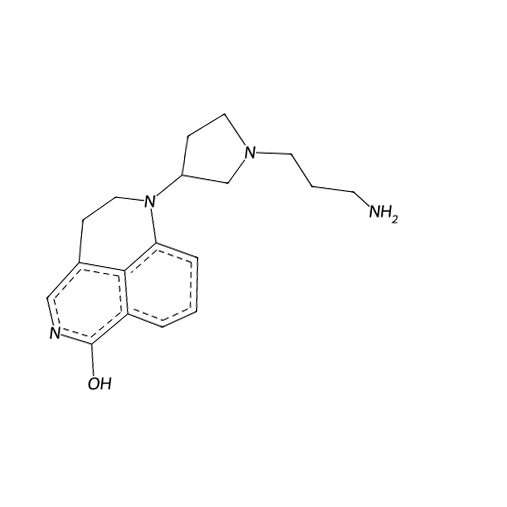 NCCCN1CCC(N2CCc3cnc(O)c4cccc2c34)C1